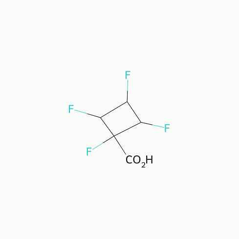 O=C(O)C1(F)C(F)C(F)C1F